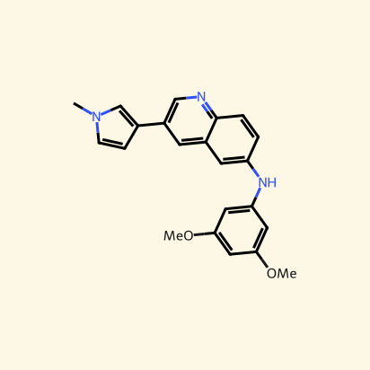 COc1cc(Nc2ccc3ncc(-c4ccn(C)c4)cc3c2)cc(OC)c1